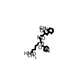 CNC(=O)CCCCC[C@H](OC(=O)C12CCN(CC1)CC2)c1ncc(-c2cc3ccccc3nc2OC)o1